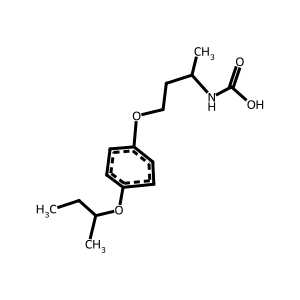 CCC(C)Oc1ccc(OCCC(C)NC(=O)O)cc1